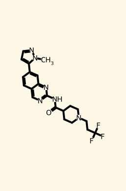 Cn1nccc1-c1ccc2cnc(NC(=O)C3CCN(CCC(F)(F)F)CC3)nc2c1